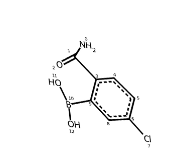 NC(=O)c1ccc(Cl)cc1B(O)O